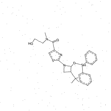 CN(CCO)C(=O)c1csc(N2CC(C(C)(C)C)C2O[SiH](c2ccccc2)c2ccccc2)n1